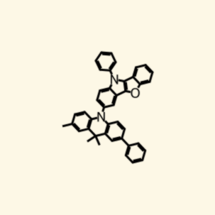 Cc1ccc2c(c1)C(C)(C)c1cc(-c3ccccc3)ccc1N2c1ccc2c(c1)c1oc3ccccc3c1n2-c1ccccc1